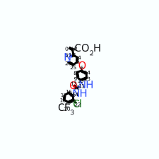 C=C(C(=O)O)c1cc(Oc2ccc(NC(=O)Nc3cccc(C(F)(F)F)c3Cl)cc2)ccn1